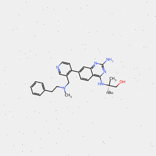 CCCC[C@](C)(CO)Nc1nc(N)nc2cc(-c3ccncc3CN(C)CCc3ccccc3)ccc12